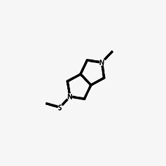 CSN1CC2CN(C)CC2C1